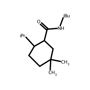 CCC(C)NC(=O)C1CC(C)(C)CCC1C(C)C